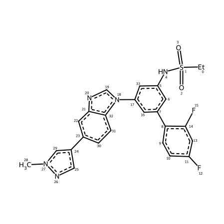 CCS(=O)(=O)Nc1cc(-c2ccc(F)cc2F)cc(-n2cnc3cc(-c4cnn(C)c4)ccc32)c1